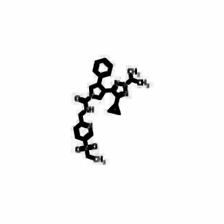 CCS(=O)(=O)c1ccc(CNC(=O)N2CC(c3ccccc3)C(c3nn(C(C)C)nc3C3CC3)C2)nc1